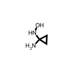 NC1(NO)CC1